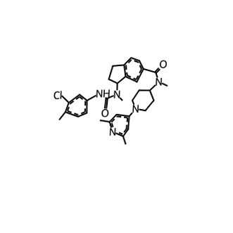 Cc1cc(N2CCC(N(C)C(=O)c3ccc4c(c3)C(N(C)C(=O)Nc3ccc(C)c(Cl)c3)CC4)CC2)cc(C)n1